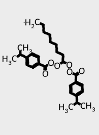 [CH2]CCCCCCC[C](OOC(=O)c1ccc(C(C)C)cc1)OOC(=O)c1ccc(C(C)C)cc1